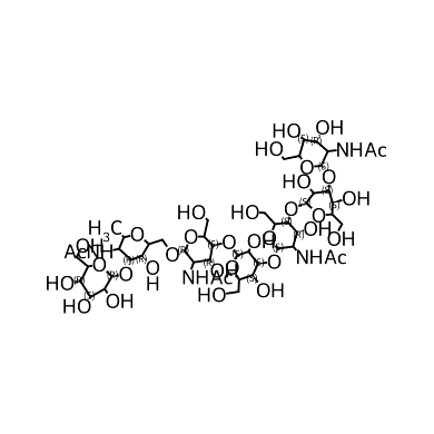 CC(=O)NC1[C@H](O[C@@H]2C(O)[C@H](O[C@@H]3C(CO)O[C@@H](O[C@@H]4C(O)[C@H](O[C@@H]5C(CO)O[C@@H](OCC6OC(C)C(NC(C)=O)[C@@H](O[C@@H]7OC(CO)[C@H](O)[C@H](O)C7O)[C@H]6O)C(NC(C)=O)[C@H]5O)OC(CO)[C@@H]4O)C(NC(C)=O)[C@H]3O)OC(CO)[C@@H]2O)OC(CO)[C@@H](O)[C@@H]1O